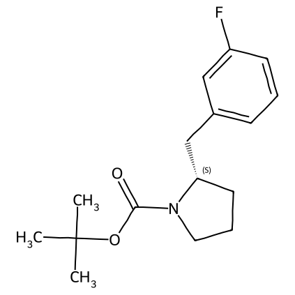 CC(C)(C)OC(=O)N1CCC[C@H]1Cc1cccc(F)c1